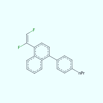 CCCc1ccc(-c2ccc(/C(F)=C\F)c3ccccc23)cc1